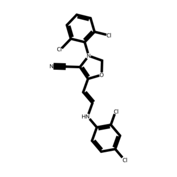 N#CC1=C(/C=C/Nc2ccc(Cl)cc2Cl)OCN1c1c(Cl)cccc1Cl